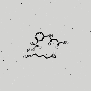 CCCCCCCCCCCCCCC1CO1.CNS(=O)(=O)c1cccc(NC(=O)CC(=O)C(C)(C)C)c1